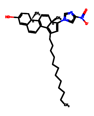 CCCCCCCCCCCCC1=C2C3=C(C=C[C@]2(C)C(n2cnc([N+](=O)[O-])c2)=C1)[C@]1(C)CC=C(O)C=C1C=C3